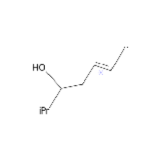 [CH2]/C=C/CC(O)C(C)C